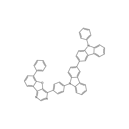 c1ccc(-c2cccc3c2oc2c(-c4ccc(-n5c6ccccc6c6cc(-c7ccc8c(c7)c7ccccc7n8-c7ccccc7)ccc65)cc4)ncnc23)cc1